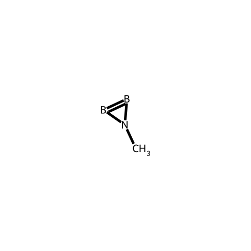 CN1B=B1